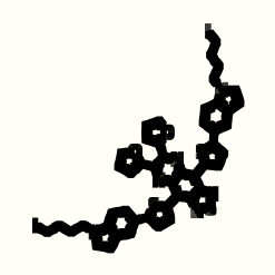 ICCCCn1ccc2cc(-c3ccc(-c4c5nsnc5c(-c5ccc(-c6ccc7c(ccn7CCCCI)c6)s5)c5nc(-c6ccco6)c(-c6ccco6)nc45)s3)ccc21